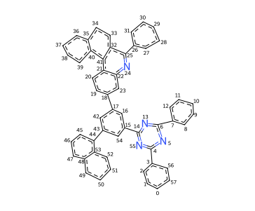 c1ccc(-c2nc(-c3ccccc3)nc(-c3cc(-c4ccc5c(c4)nc(-c4ccccc4)c4ccc6ccccc6c45)cc(-c4cccc5ccccc45)c3)n2)cc1